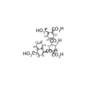 O=C(O)C1CCC(C(=O)O)CC1.O=C(O)c1ccc(C(=O)O)c2ccccc12.O=C(O)c1ccccc1C(=O)O